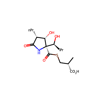 CCC[C@H]1C(=O)N[C@](C(=O)SC[C@H](C)C(=O)O)([C@@H](O)C(C)C)[C@H]1O